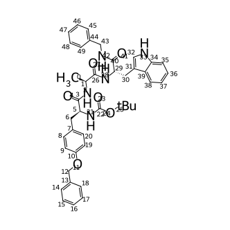 C[C@H](NC(=O)[C@H](Cc1ccc(OCc2ccccc2)cc1)NC(=O)OC(C)(C)C)C(=O)N[C@@H](Cc1c[nH]c2ccccc12)C(=O)NCc1ccccc1